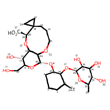 CCC1CCC[C@@H](O[C@@H]2OC(CO)[C@H](O)C3O[C@@H](C(=O)O)C4(CCCOC32)CC4)C1O[C@@H]1OC(C)[C@@H](O)C(O)[C@@H]1O